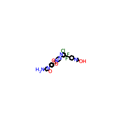 N[C@@H]1CC(=O)N(c2ccc(S(=O)(=O)N3CCN(c4cc(C(F)(F)C5CCC(N6CC(O)C6)CC5)cc(Cl)n4)CC3)cc2)C1